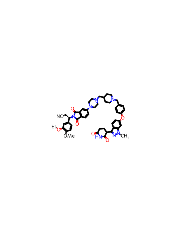 CCOc1cc([C@@H](CC#N)N2C(=O)c3ccc(N4CCN(CC5CCN(Cc6ccc(Oc7ccc8c(C9CCC(=O)NC9=O)nn(C)c8c7)cc6)CC5)CC4)cc3C2=O)ccc1OC